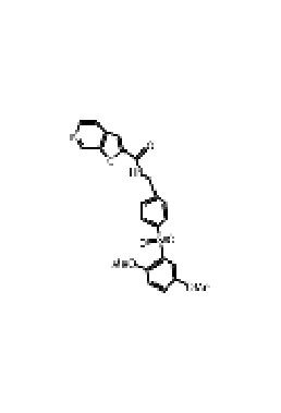 COc1ccc(OC)c(S(=O)(=O)c2ccc(CNC(=O)c3cc4ccncc4o3)cc2)c1